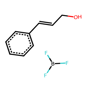 FB(F)F.OCC=Cc1ccccc1